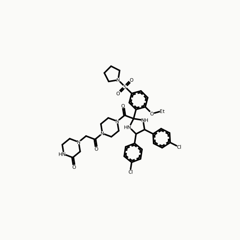 CCOc1ccc(S(=O)(=O)N2CCCC2)cc1C1(C(=O)N2CCN(C(=O)CN3CCNC(=O)C3)CC2)NC(c2ccc(Cl)cc2)C(c2ccc(Cl)cc2)N1